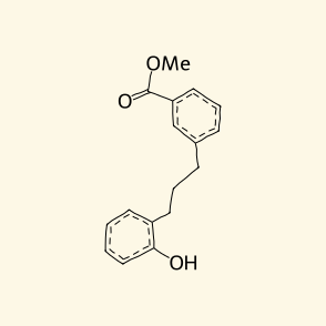 COC(=O)c1cccc(CCCc2ccccc2O)c1